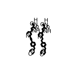 O=c1[nH]cnc2[nH]c(-c3ccnc(C#Cc4ccc(CN5CCOCC5)cc4)c3)cc12.O=c1[nH]cnc2[nH]c(-c3ccnc(CCc4ccc(CN5CCOCC5)cc4)c3)cc12